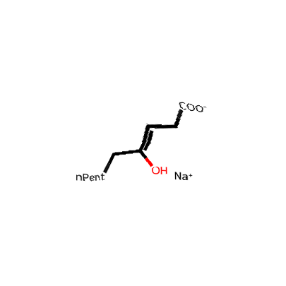 CCCCCCC(O)=CCC(=O)[O-].[Na+]